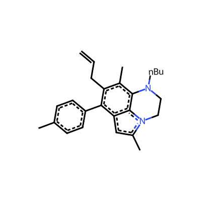 C=CCc1c(C)c2c3c(cc(C)n3CCN2CCCC)c1-c1ccc(C)cc1